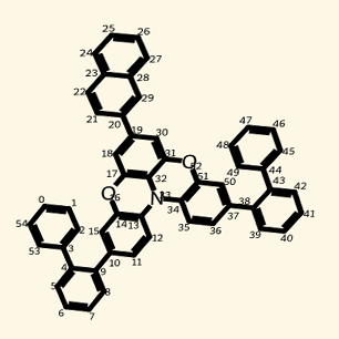 c1ccc(-c2ccccc2-c2ccc3c(c2)Oc2cc(-c4ccc5ccccc5c4)cc4c2N3c2ccc(-c3ccccc3-c3ccccc3)cc2O4)cc1